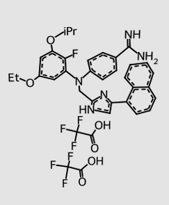 CCOc1cc(OC(C)C)c(F)c(N(Cc2nc(-c3cccc4ccccc34)c[nH]2)c2ccc(C(=N)N)cc2)c1.O=C(O)C(F)(F)F.O=C(O)C(F)(F)F